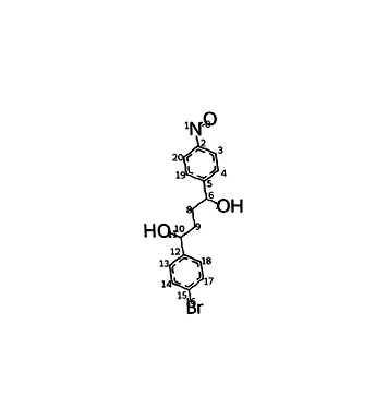 O=Nc1ccc(C(O)CCC(O)c2ccc(Br)cc2)cc1